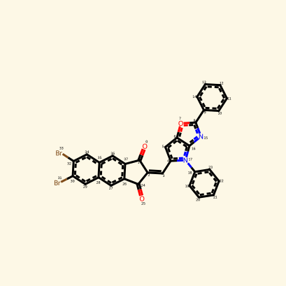 O=C1C(=Cc2cc3oc(-c4ccccc4)nc3n2-c2ccccc2)C(=O)c2cc3cc(Br)c(Br)cc3cc21